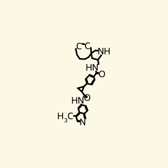 Cc1cncc2ccc(NC(=O)C3CC3c3ccc(C(=O)NCC4CNCC5(CCCCCCCCC5)C4)cc3)cc12